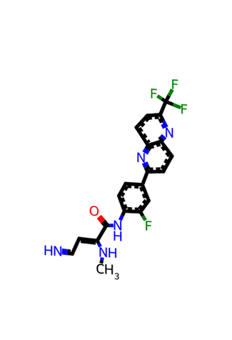 CN/C(=C\C=N)C(=O)Nc1ccc(-c2ccc3nc(C(F)(F)F)ccc3n2)cc1F